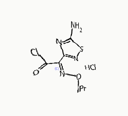 CC(C)O/N=C(/C(=O)Cl)c1nsc(N)n1.Cl